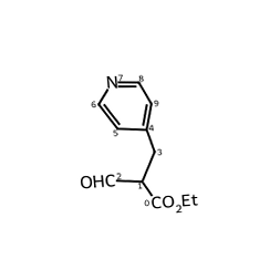 CCOC(=O)C(C=O)Cc1ccncc1